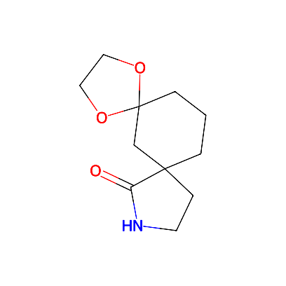 O=C1NCCC12CCCC1(C2)OCCO1